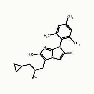 CCCN(Cc1c(C)nc2n(-c3c(C)cc(C)cc3C)c(Cl)cn12)CC1CC1